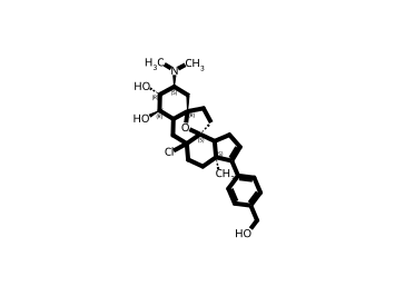 CN(C)[C@H]1C[C@@]23CC[C@]4(O2)C2CC=C(c5ccc(CO)cc5)[C@@]2(C)CCC4(Cl)CC3[C@@H](O)[C@@H]1O